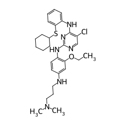 CCOc1cc(NCCCN(C)C)ccc1Nc1ncc(Cl)c(Nc2ccccc2SC2CCCCC2)n1